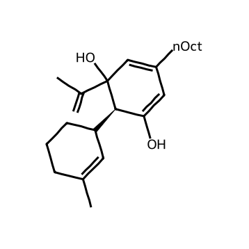 C=C(C)C1(O)C=C(CCCCCCCC)C=C(O)[C@H]1C1C=C(C)CCC1